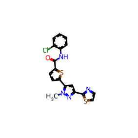 Cn1nc(-c2nccs2)cc1-c1ccc(C(=O)Nc2ccccc2Cl)s1